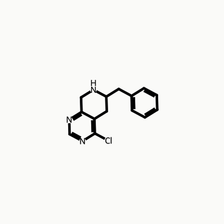 Clc1ncnc2c1CC(Cc1ccccc1)NC2